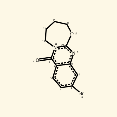 O=c1c2ccc(Br)cc2nc2n1CCCCO2